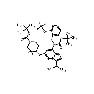 CC(C)c1cnc2c(N(Cc3ccccc3OC(F)(F)F)C(=O)OC(C)(C)C)cc(OC3CCN(C(=O)OC(C)(C)C)CC3(F)F)nn12